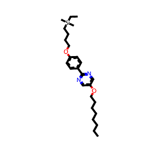 CCCCCCCCOc1cnc(-c2ccc(OCCCC[Si](C)(C)CC)cc2)nc1